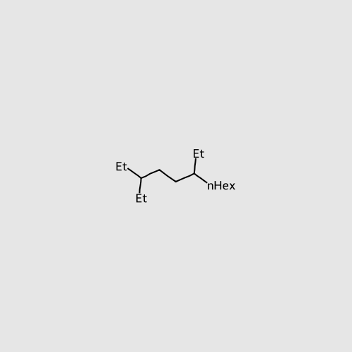 CCC[CH]CCC(CC)CCC(CC)CC